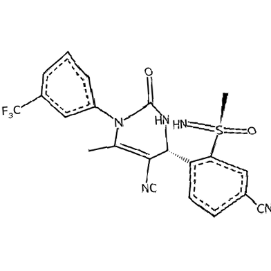 [C-]#[N+]C1=C(C)N(c2cccc(C(F)(F)F)c2)C(=O)N[C@@H]1c1ccc(C#N)cc1[S@](C)(=N)=O